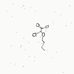 CCCCOC(Cl)C(=O)Cl